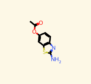 CC(=O)Oc1ccc2nc(N)sc2c1